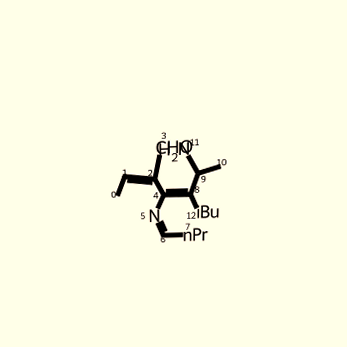 C/C=C(/C=O)C(/N=C\CCC)=C(C(C)N)C(C)CC